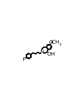 COc1ccc2c(c1)CCN(CCCCc1ccc(F)cc1)CC2O